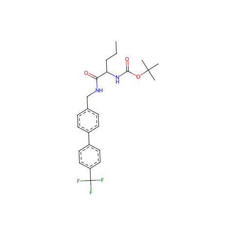 CCCC(NC(=O)OC(C)(C)C)C(=O)NCc1ccc(-c2ccc(C(F)(F)F)cc2)cc1